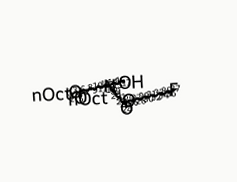 CCCCCCCCC(CCCCCCCC)OC(=O)CCCCCCCN(CCCO)CCCCCC(=O)OCCCCCCCCCCCF